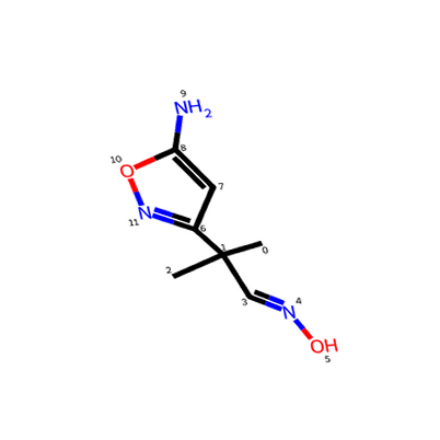 CC(C)(C=NO)c1cc(N)on1